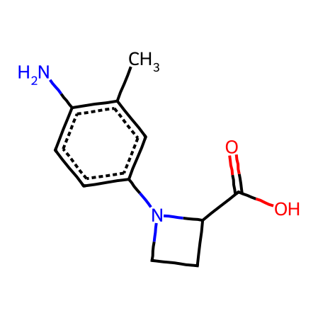 Cc1cc(N2CCC2C(=O)O)ccc1N